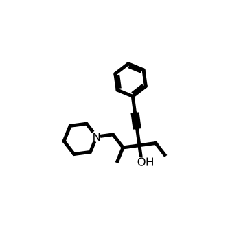 CCC(O)(C#Cc1ccccc1)C(C)CN1CCCCC1